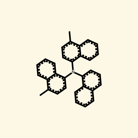 Cc1ccc(N(c2cccc3ccccc23)c2ccc(C)c3ccccc23)c2ccccc12